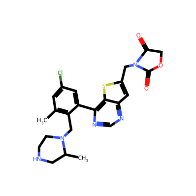 Cc1cc(Cl)cc(-c2ncnc3cc(CN4C(=O)COC4=O)sc23)c1CN1CCNCC1C